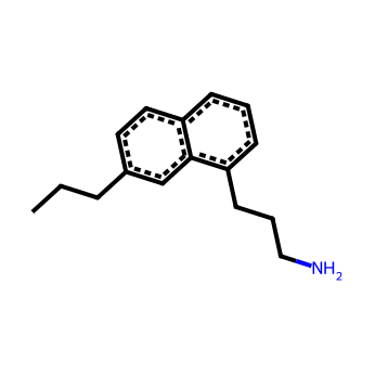 CCCc1ccc2cccc(CCCN)c2c1